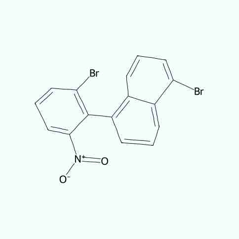 O=[N+]([O-])c1cccc(Br)c1-c1cccc2c(Br)cccc12